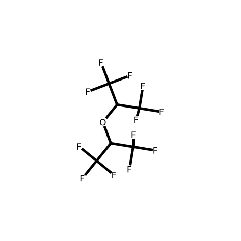 FC(F)(F)C(OC(C(F)(F)F)C(F)(F)F)C(F)(F)F